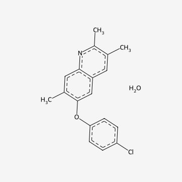 Cc1cc2nc(C)c(C)cc2cc1Oc1ccc(Cl)cc1.O